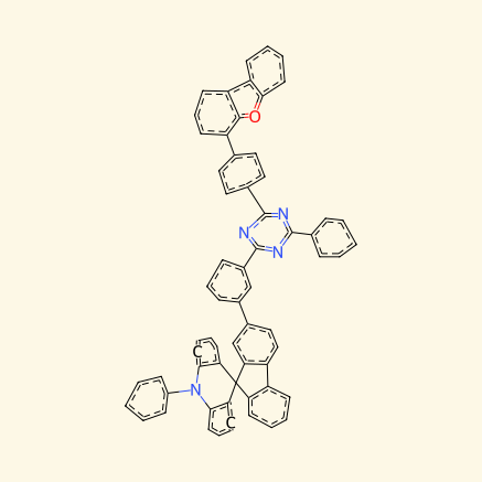 c1ccc(-c2nc(-c3ccc(-c4cccc5c4oc4ccccc45)cc3)nc(-c3cccc(-c4ccc5c(c4)C4(c6ccccc6-5)c5ccccc5N(c5ccccc5)c5ccccc54)c3)n2)cc1